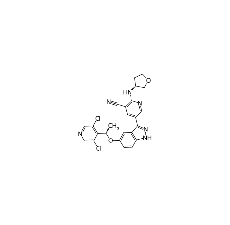 C[C@@H](Oc1ccc2[nH]nc(-c3cnc(N[C@H]4CCOC4)c(C#N)c3)c2c1)c1c(Cl)cncc1Cl